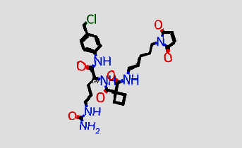 NC(=O)NCCC[C@H](NC(=O)C1(C(=O)NCCCCCN2C(=O)C=CC2=O)CCC1)C(=O)Nc1ccc(CCl)cc1